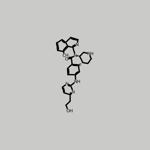 Cc1cccc2ccnc(N(C(=O)c3ccc(Nc4nccc(CCO)n4)cc3F)[C@@H]3CCCNC3)c12